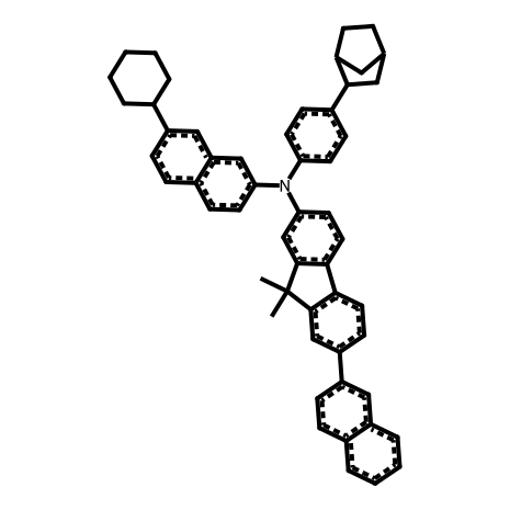 CC1(C)c2cc(-c3ccc4ccccc4c3)ccc2-c2ccc(N(c3ccc(C4CC5CCC4C5)cc3)c3ccc4ccc(C5CCCCC5)cc4c3)cc21